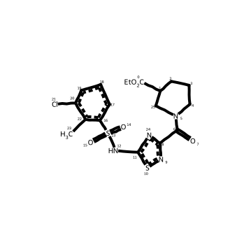 CCOC(=O)C1CCCN(C(=O)c2nsc(NS(=O)(=O)c3cccc(Cl)c3C)n2)C1